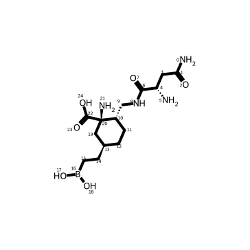 NC(=O)C[C@H](N)C(=O)NC[C@@H]1CC[C@@H](CCB(O)O)C[C@]1(N)C(=O)O